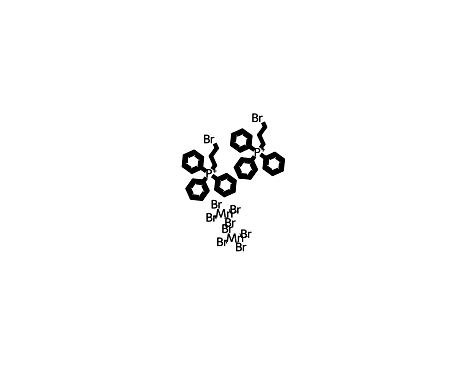 BrCCC[P+](c1ccccc1)(c1ccccc1)c1ccccc1.BrCCC[P+](c1ccccc1)(c1ccccc1)c1ccccc1.[Br][Mn-]([Br])([Br])[Br].[Br][Mn-]([Br])([Br])[Br]